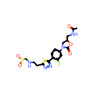 CC(=O)NCC1CN(c2ccc(-c3nnc(CCNC[SH](=O)=O)s3)c(F)c2)C(=O)O1